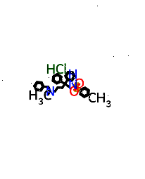 Cc1ccc(S(=O)(=O)NCC(CCCN(C)Cc2ccccc2)(c2ccccc2)c2ccccc2)cc1.Cl